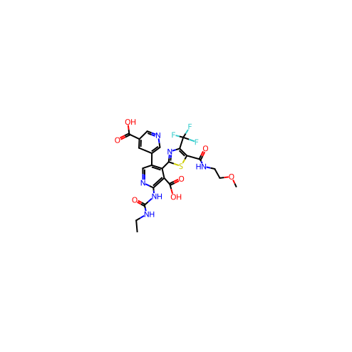 CCNC(=O)Nc1ncc(-c2cncc(C(=O)O)c2)c(-c2nc(C(F)(F)F)c(C(=O)NCCOC)s2)c1C(=O)O